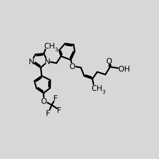 CC(=CCOc1ccccc1Cn1c(C)cnc1-c1ccc(OC(F)(F)F)cc1)CCC(=O)O